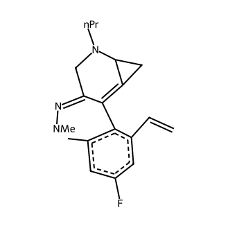 C=Cc1cc(F)cc(C)c1C1=C2CC2N(CCC)C/C1=N/NC